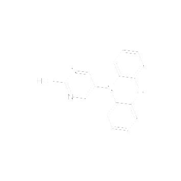 Cc1ncc(N2c3ccccc3Oc3ccccc32)cn1